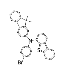 CC1(C)c2ccccc2-c2ccc(N(c3ccc(Br)cc3)c3cccc4c3sc3ccccc34)cc21